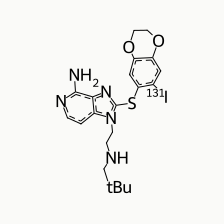 CC(C)(C)CNCCn1c(Sc2cc3c(cc2[131I])OCCO3)nc2c(N)nccc21